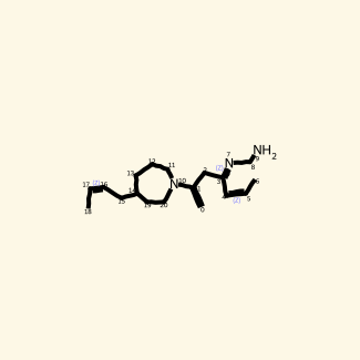 C=C(CC(/C=C\C)=N/CN)N1CCCC(C/C=C\C)CC1